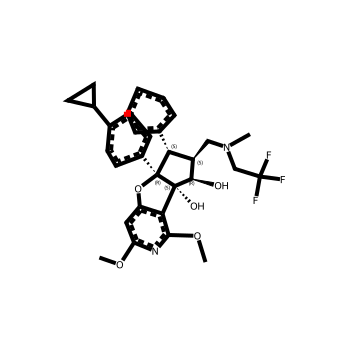 COc1cc2c(c(OC)n1)[C@]1(O)[C@H](O)[C@H](CN(C)CC(F)(F)F)[C@@H](c3ccccc3)[C@]1(c1ccc(C3CC3)cc1)O2